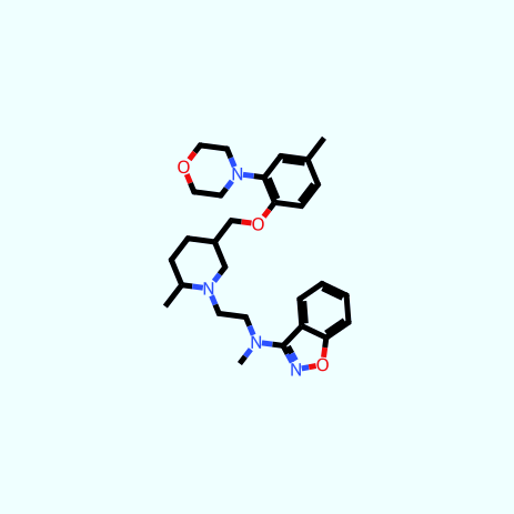 Cc1ccc(OCC2CCC(C)N(CCN(C)c3noc4ccccc34)C2)c(N2CCOCC2)c1